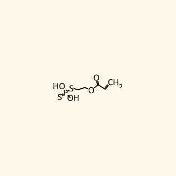 C=CC(=O)OCCSP(O)(O)=S